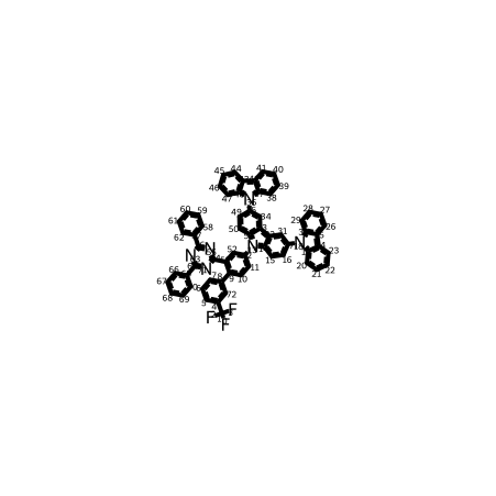 FC(F)(F)c1cccc(-c2ccc(-n3c4ccc(-n5c6ccccc6c6ccccc65)cc4c4cc(-n5c6ccccc6c6ccccc65)ccc43)cc2-c2nc(-c3ccccc3)nc(-c3ccccc3)n2)c1